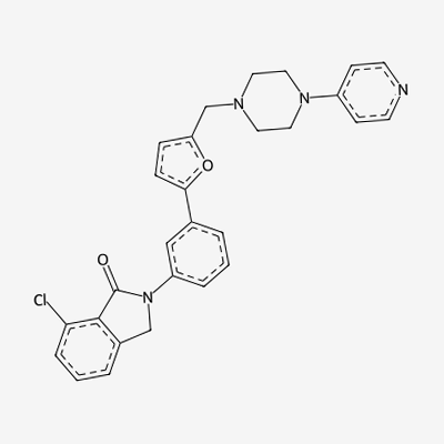 O=C1c2c(Cl)cccc2CN1c1cccc(-c2ccc(CN3CCN(c4ccncc4)CC3)o2)c1